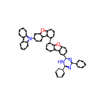 C1=CCC(C2=NC(c3ccccc3)=NC(c3ccc4oc5c(-c6cccc7oc8cc(-n9c%10ccccc%10c%10ccccc%109)ccc8c67)cccc5c4c3)N2)C=C1